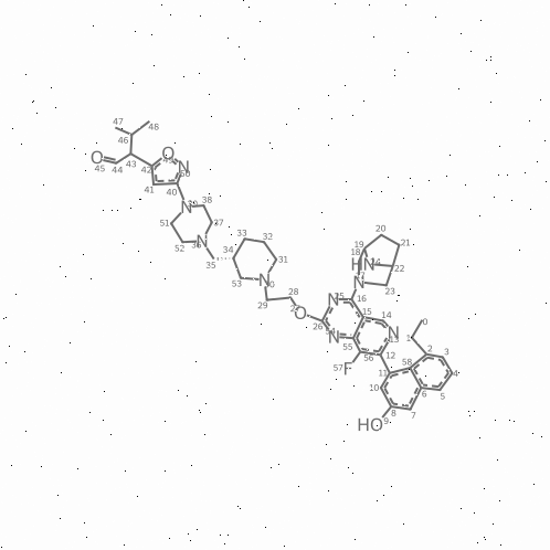 CCc1cccc2cc(O)cc(-c3ncc4c(N5CC6CCC(C5)N6)nc(OCCN5CCC[C@@H](CN6CCN(c7cc(C(C=O)C(C)C)on7)CC6)C5)nc4c3F)c12